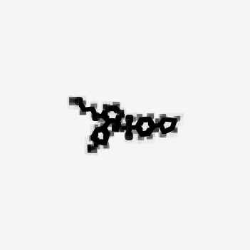 CCc1ccc(-c2c(NS(=O)(=O)c3ccc(C4CCCC4)cc3)ncnc2OCCO)cc1